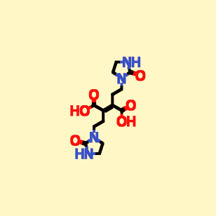 O=C(O)/C(CCN1CCNC1=O)=C(\CCN1CCNC1=O)C(=O)O